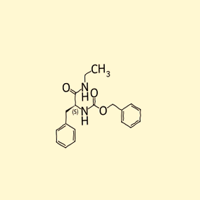 CCNC(=O)[C@H](Cc1ccccc1)NC(=O)OCc1ccccc1